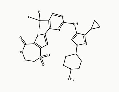 CN1CCC(n2cc(Nc3ncc(C(F)(F)F)c(-c4cc5c(s4)C(=O)NCCS5(=O)=O)n3)c(C3CC3)n2)CC1